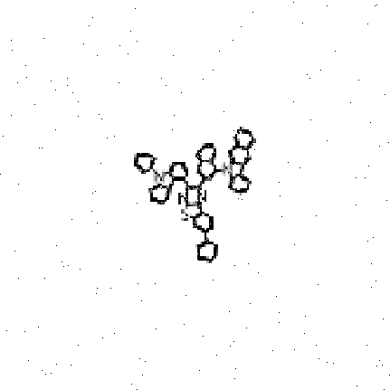 c1ccc(-c2ccc3c(c2)sc2nc(-c4cccc5c4c4ccccc4n5-c4ccccc4)c(-c4cc(-n5c6ccccc6c6cc7ccccc7cc65)c5ccccc5c4)nc23)cc1